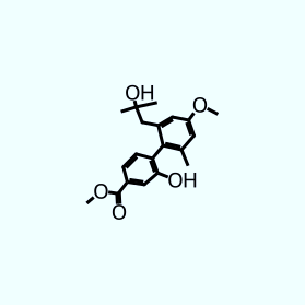 COC(=O)c1ccc(-c2c(C)cc(OC)cc2CC(C)(C)O)c(O)c1